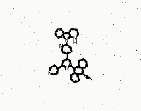 N#Cc1c2ccccc2c(-c2cc(-c3ccc(-n4c5c(c6ccccc64)C=CCN5)nc3)cc(-c3ccncc3)n2)c2ccccc12